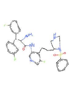 NC(C(=O)Nc1cncc(F)c1CCC1CNCCN1S(=O)(=O)c1ccccc1)C(c1cccc(F)c1)c1cccc(F)c1